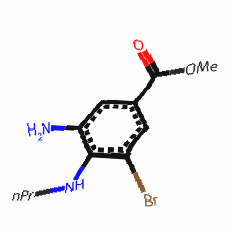 CCCNc1c(N)cc(C(=O)OC)cc1Br